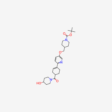 CC(C)(C)OC(=O)N1CCC(COc2ccc(C3=CCC(C(=O)N4CCC(O)CC4)CC3)nc2)CC1